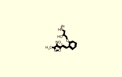 Cc1noc(C=Cc2ccccc2OCC(O)CNC(C)C)c1[N+](=O)[O-]